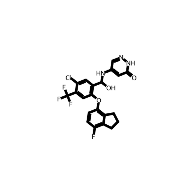 O=c1cc(NC(O)c2cc(Cl)c(C(F)(F)F)cc2Oc2ccc(F)c3c2CCC3)cn[nH]1